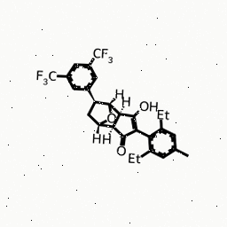 CCc1cc(C)cc(CC)c1C1=C(O)[C@@H]2[C@@H]3O[C@@H](C[C@H]3c3cc(C(F)(F)F)cc(C(F)(F)F)c3)[C@@H]2C1=O